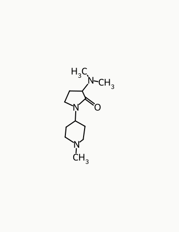 CN1CCC(N2CCC(N(C)C)C2=O)CC1